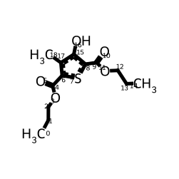 CCCOC(=O)c1sc(C(=O)OCCC)c(O)c1C